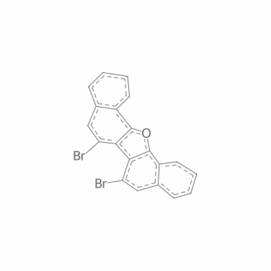 Brc1cc2ccccc2c2oc3c4ccccc4cc(Br)c3c12